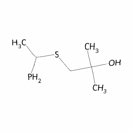 CC(P)SCC(C)(C)O